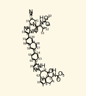 COC(=O)N[C@H]1CCc2ccn3c2C1C(=O)C[C@H](c1ncc(-c2ccc(-c4ccc5cc(-c6cnc([C@@H]7C[C@H](C#N)CN7C(=O)[C@@H](NC(=O)OC)C(C)C)[nH]6)ccc5c4)cc2)[nH]1)C3